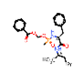 CC(C)C[C@H](NC(=O)[C@H](Cc1ccccc1)NP(C)(=O)OCOC(=O)c1ccccc1)C(=O)O